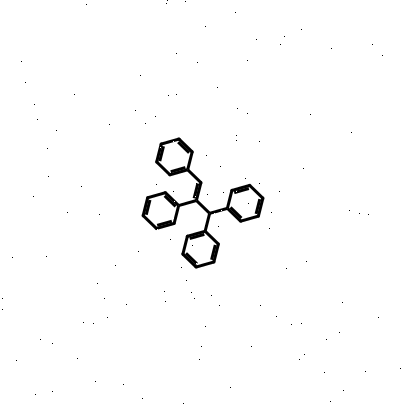 C(=C(c1ccccc1)C(c1ccccc1)c1ccccc1)c1ccccc1